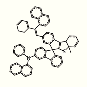 CC12C=CC=CC1C1=C(S2)C2(c3cc(/C=C(/C4=CC=CCC4)c4cccc5ccccc45)ccc31)c1ccccc1-c1cc(N(c3ccccc3)c3cccc4ccccc34)ccc12